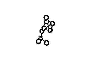 c1ccc(-c2nc(-c3ccc4cc5c(cc4c3)C3(c4ccccc4-c4ccccc43)c3cc4ccccc4cc3-5)nc3ccccc23)cc1